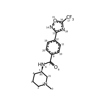 CN1CCC[C@@H](NC(=O)c2ccc(-c3noc(C(F)(F)F)n3)cc2)C1